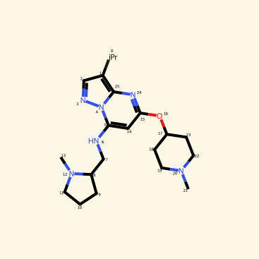 CC(C)c1cnn2c(NCC3CCCN3C)cc(OC3CCN(C)CC3)nc12